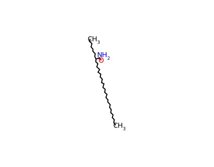 CCCCCCCCCCCCCCCCCCCCCCCCCCC(CCCCCCCC)C(N)=O